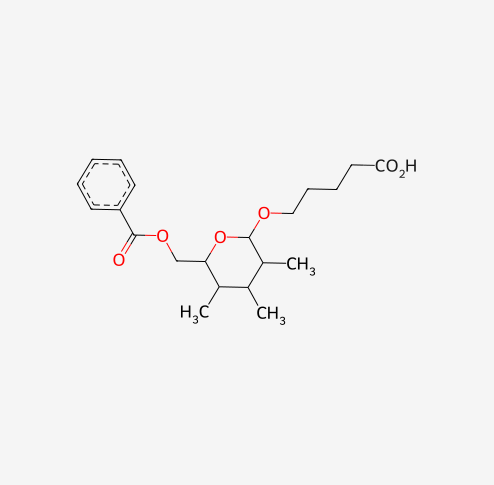 CC1C(COC(=O)c2ccccc2)OC(OCCCCC(=O)O)C(C)C1C